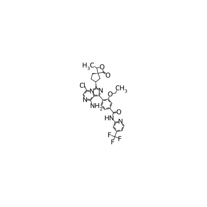 CCOc1cc(C(=O)Nc2cc(C(F)(F)F)ccn2)ccc1-c1nc([C@H]2CC[C@]3(C2)C(=O)OC3C)n2c(Cl)cnc(N)c12